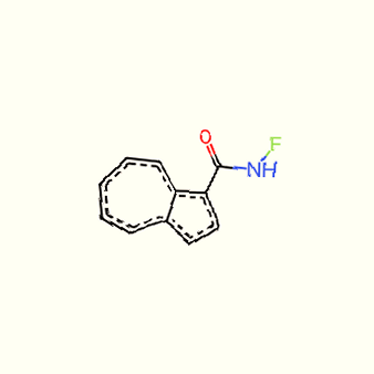 O=C(NF)c1ccc2cccccc1-2